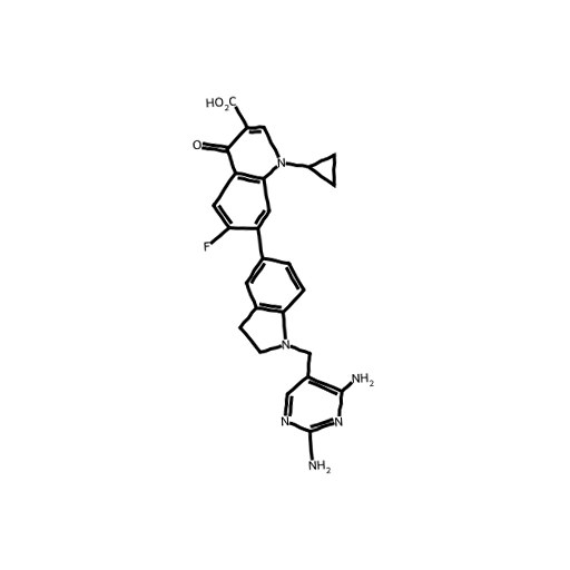 Nc1ncc(CN2CCc3cc(-c4cc5c(cc4F)c(=O)c(C(=O)O)cn5C4CC4)ccc32)c(N)n1